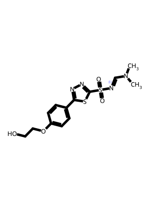 CN(C)/C=N/S(=O)(=O)c1nnc(-c2ccc(OCCO)cc2)s1